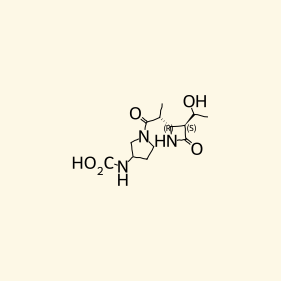 CC(C(=O)N1CCC(NC(=O)O)C1)[C@H]1NC(=O)[C@@H]1C(C)O